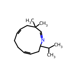 CC(C)C1CC=CCCC=CCC(C)(C)C=N1